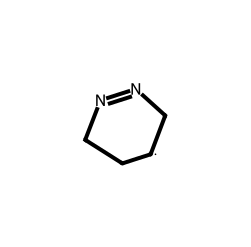 [CH]1CCN=NC1